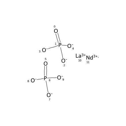 O=P([O-])([O-])[O-].O=P([O-])([O-])[O-].[La+3].[Nd+3]